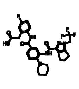 O=C(O)Cc1cc(F)ccc1NC(=O)c1ccc(N2CCCCC2)c(NC(=O)c2nn(CC(F)(F)F)c3c2CCC3)c1